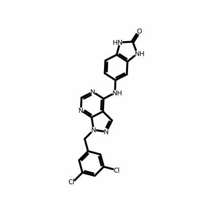 O=c1[nH]c2ccc(Nc3ncnc4c3cnn4Cc3cc(Cl)cc(Cl)c3)cc2[nH]1